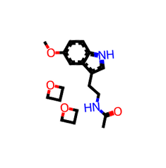 C1COC1.C1COC1.COc1ccc2[nH]cc(CCNC(C)=O)c2c1